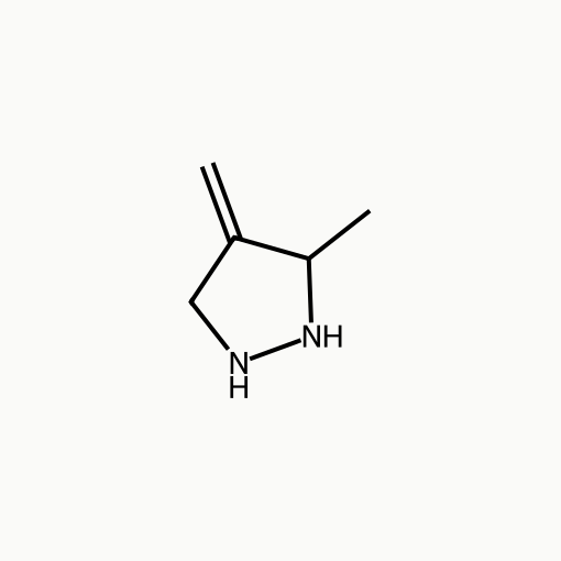 C=C1CNNC1C